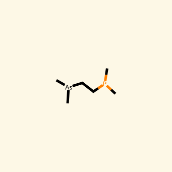 CP(C)CC[As](C)C